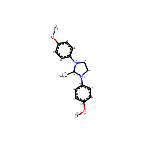 CCOc1ccc(N2CCN(c3ccc(OCC)cc3)C2C(Cl)(Cl)Cl)cc1